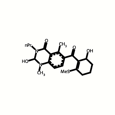 CCCN1C(=O)c2c(ccc(C(=O)C3=C(SC)CCCC3O)c2C)N(C)C1O